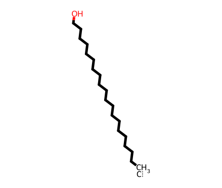 CCCCCCCCCCCCCCCCCCCCO.[C]